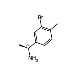 Cc1ccc([C@H](C)N)cc1Br